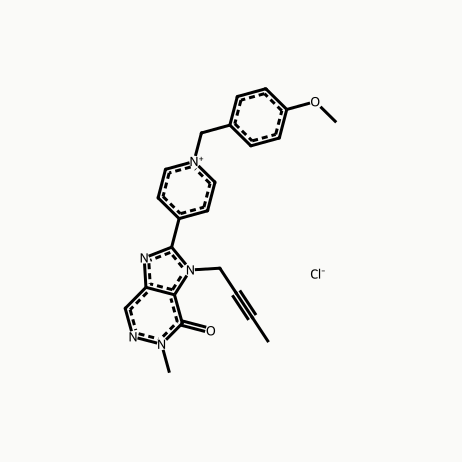 CC#CCn1c(-c2cc[n+](Cc3ccc(OC)cc3)cc2)nc2cnn(C)c(=O)c21.[Cl-]